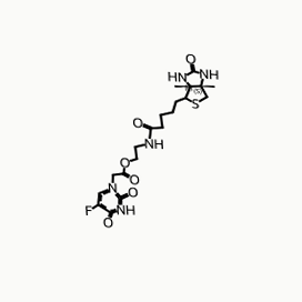 C[C@@]12CSC(CCCCC(=O)NCCOC(=O)Cn3cc(F)c(=O)[nH]c3=O)[C@]1(C)NC(=O)N2